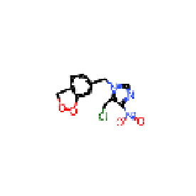 O=[N+]([O-])c1ncn(Cc2ccc3c(c2)OOC3)c1CCl